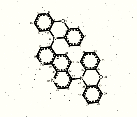 c1ccc2c(c1)Oc1ccccc1N2c1ccnc2c1ccc1c(N3c4ccccc4Oc4ccccc43)ccnc12